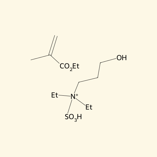 C=C(C)C(=O)OCC.CC[N+](CC)(CCCO)S(=O)(=O)O